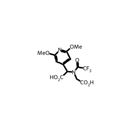 COc1cc(C(C(=O)O)N(CC(=O)O)C(=O)C(F)(F)F)cc(OC)n1